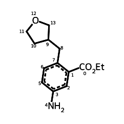 CCOC(=O)c1cc(N)ccc1CC1CCOC1